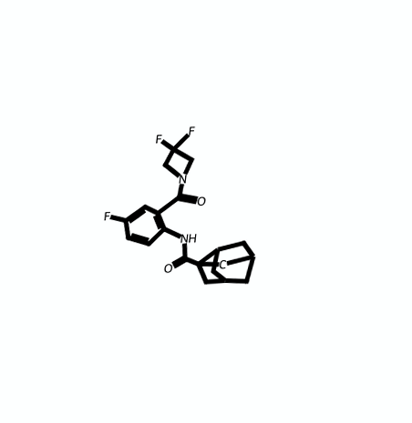 O=C(c1cc(F)ccc1NC(=O)C12CC3CC(CC1C3)C2)N1CC(F)(F)C1